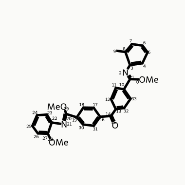 CO/C(=N\c1ccccc1C)c1ccc(C(=O)c2ccc(/C(=N/c3ccccc3OC)OC)cc2)cc1